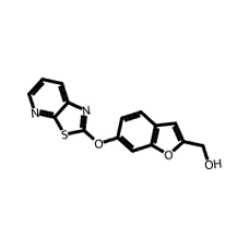 OCc1cc2ccc(Oc3nc4cccnc4s3)cc2o1